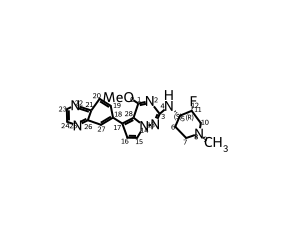 COc1nc(N[C@H]2CCN(C)C[C@H]2F)nn2ccc(-c3ccc4nccnc4c3)c12